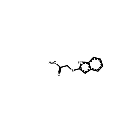 COC(=O)CSc1cc2ccccc2[nH]1